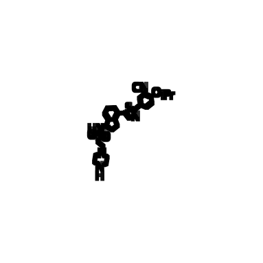 CC(C)Oc1ccc(-c2ncc(-c3cccc4c3CC[C@H]4NS(=O)(=O)CCN3CCNCC3)s2)cc1C#N